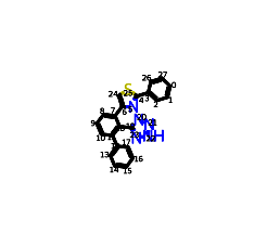 c1ccc(-c2nc(-c3cccc(-c4ccccc4)c3-c3nn[nH]n3)cs2)cc1